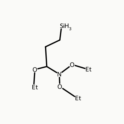 CCOC(CC[SiH3])N(OCC)OCC